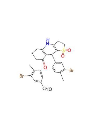 Cc1ccc(C2C3=C(CCCC3=O)NC3=C2S(=O)(=O)CC3)cc1Br.Cc1ccc(C=O)cc1Br